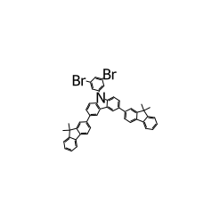 CC1(C)c2ccccc2-c2ccc(-c3ccc4c(c3)c3cc(-c5ccc6c(c5)C(C)(C)c5ccccc5-6)ccc3n4-c3cc(Br)cc(Br)c3)cc21